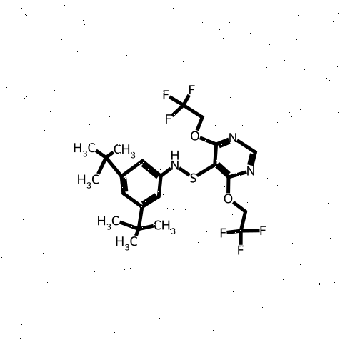 CC(C)(C)c1cc(NSc2c(OCC(F)(F)F)ncnc2OCC(F)(F)F)cc(C(C)(C)C)c1